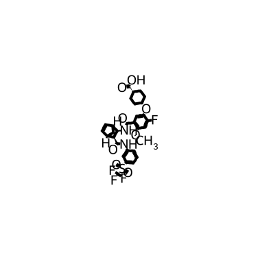 COc1cc(F)c(O[C@H]2CC[C@H](C(=O)O)CC2)cc1C(=O)N[C@H]1[C@@H](C(=O)Nc2cccc(S(=O)(=O)C(F)(F)F)c2)[C@@H]2C=C[C@H]1C2